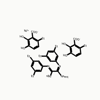 CCCCCC(=Nc1cc(CC)cc(CC)c1)C(CCCC)=Nc1cc(CC)cc(CC)c1.CCc1ccc(O)c(O)c1C(=O)[O-].CCc1ccc(O)c(O)c1C(=O)[O-].[Ni+2]